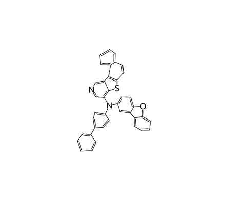 c1ccc(-c2ccc(N(c3ccc4oc5ccccc5c4c3)c3cncc4c3sc3ccc5ccccc5c34)cc2)cc1